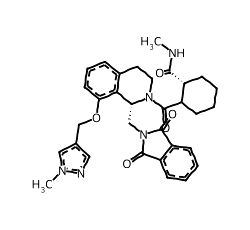 CNC(=O)[C@@H]1CCCCC1C(=O)N1CCc2cccc(OCc3cnn(C)c3)c2[C@H]1CN1C(=O)c2ccccc2C1=O